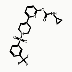 O=C(NC1CC1)Oc1cccc(C2=CCN(S(=O)(=O)c3cccc(C(F)(F)F)c3)CC2)n1